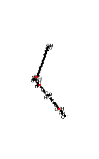 [CH2]C(=O)NCCCNC(=O)COCCOCCNC(=O)COCCOCCNC(=O)CC[C@H](NC(=O)CCCCCCCCCCCCCCCCCCC(=O)O)C(=O)O